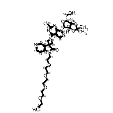 C#CCOCCOCCOCCOCCN1C(=O)C2(CN(c3nc(Cl)nc4c3cnn4[C@@H]3O[C@H](CO)[C@H]4OC(C)(C)O[C@H]43)C2)c2cnccc21